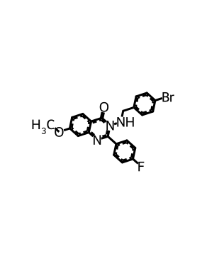 COc1ccc2c(=O)n(NCc3ccc(Br)cc3)c(-c3ccc(F)cc3)nc2c1